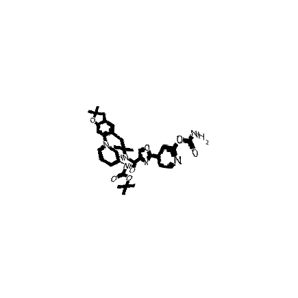 CC(C)(Cc1cc2c(cc1N1CCC[C@@H](NC(=O)OC(C)(C)C)C1)OC(C)(C)C2)NC(=O)c1coc(-c2ccnc(OC(N)=O)c2)n1